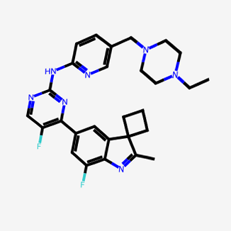 CCN1CCN(Cc2ccc(Nc3ncc(F)c(-c4cc(F)c5c(c4)C4(CCC4)C(C)=N5)n3)nc2)CC1